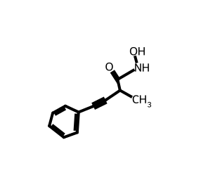 CC(C#Cc1ccccc1)C(=O)NO